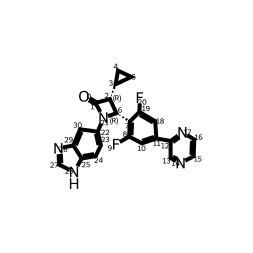 O=C1[C@H](C2CC2)[C@H](c2c(F)cc(-c3cnccn3)cc2F)N1c1ccc2[nH]cnc2c1